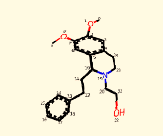 COc1cc2c(cc1OC)C(CCc1ccccc1)N(CCO)CC2